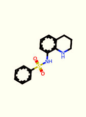 O=S(=O)(Nc1cccc2c1NCCC2)c1ccccc1